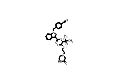 CC(C)(C)[C@H](NC(=O)c1nn(Cc2ccc(C#N)cc2)c2ccccc12)C(=O)NCCN1CCNC(=O)C1